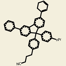 CCCc1ccc(C2(c3ccc(CCCC#N)cc3)c3ccc(C4=CC=CCC4)cc3-c3cc(-c4ccccc4)ccc32)cc1